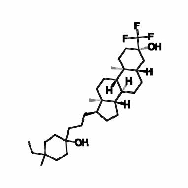 CCC1(C)CCC(O)(CCC[C@@H]2CC[C@H]3[C@@H]4CC[C@H]5C[C@](O)(C(F)(F)F)CC[C@]5(C)[C@H]4CC[C@]23C)CC1